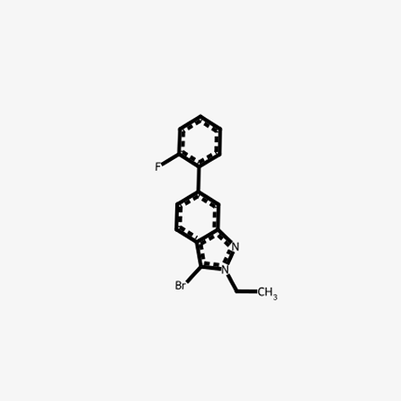 CCn1nc2cc(-c3ccccc3F)ccc2c1Br